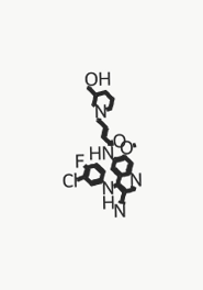 COc1cc2ncc(C#N)c(Nc3ccc(F)c(Cl)c3)c2cc1NC(=O)C=CCN1CCCC(CO)C1